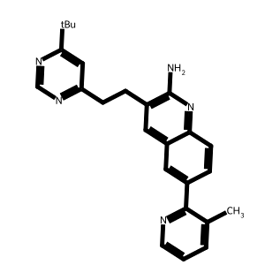 Cc1cccnc1-c1ccc2nc(N)c(CCc3cc(C(C)(C)C)ncn3)cc2c1